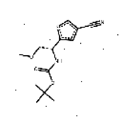 COC[C@@H](NC(=O)OC(C)(C)C)c1cc(C#N)cs1